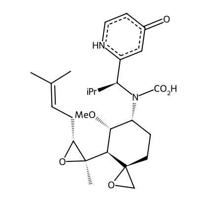 CO[C@@H]1[C@H](N(C(=O)O)[C@H](c2cc(=O)cc[nH]2)C(C)C)CC[C@]2(CO2)[C@H]1[C@@]1(C)O[C@@H]1CC=C(C)C